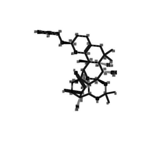 C=C1C(=O)[C@@]23C4OC(C)(C)O[C@]25OC([C@@H]3CC[C@@H]14)[C@]1(C)C2=C(CC[C@H](ON=[N+]=[N-])O2)CC(C)(C)[C@H]1[C@@H]5O